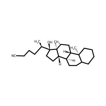 C[C@H](CCCC#N)[C@@]1(O)CC[C@H]2[C@@H]3CCC4CCCC[C@]4(C)[C@H]3CC[C@@]21C